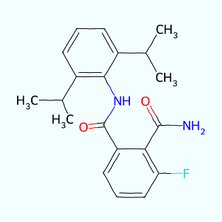 CC(C)c1cccc(C(C)C)c1NC(=O)c1cccc(F)c1C(N)=O